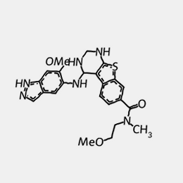 COCCN(C)C(=O)c1ccc2c3c(sc2c1)NCNC3Nc1cc2cn[nH]c2cc1OC